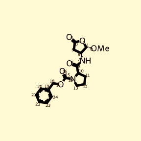 CO[C@H]1OC(=O)C[C@@H]1NC(=O)C1CCCN1C(=O)OCc1ccccc1